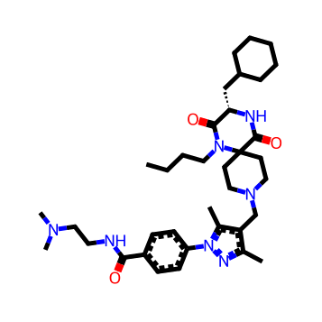 CCCCN1C(=O)[C@H](CC2CCCCC2)NC(=O)C12CCN(Cc1c(C)nn(-c3ccc(C(=O)NCCN(C)C)cc3)c1C)CC2